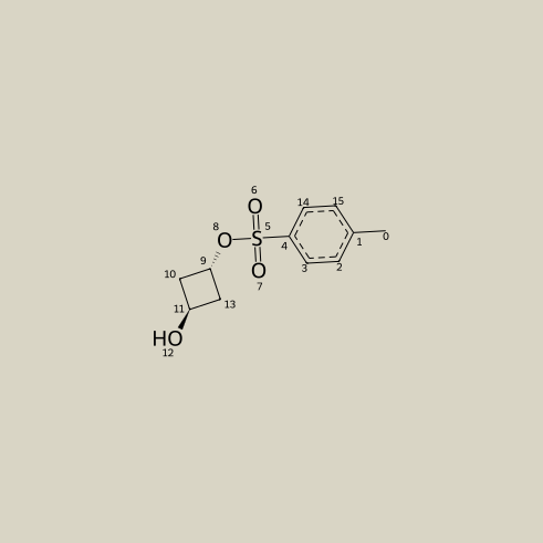 Cc1ccc(S(=O)(=O)O[C@H]2C[C@H](O)C2)cc1